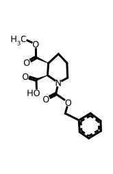 COC(=O)[C@H]1CCCN(C(=O)OCc2ccccc2)[C@H]1C(=O)O